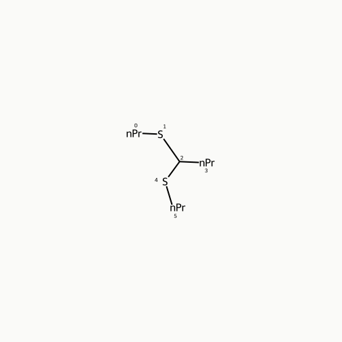 CCCSC(CCC)SCCC